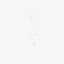 CC(=O)N1CC(Nc2cc(C(=O)NCC(F)CN3CCc4ccccc4C3)ncn2)C1